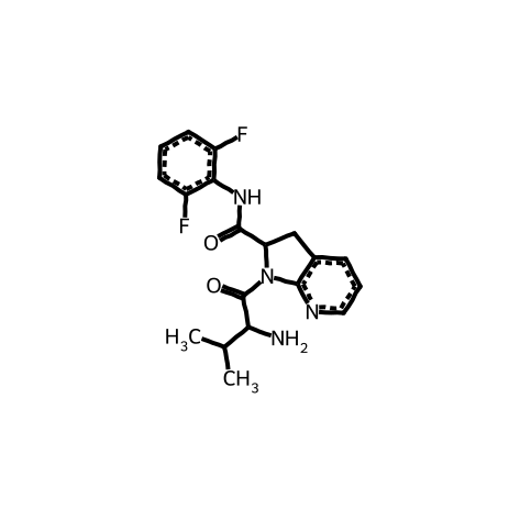 CC(C)C(N)C(=O)N1c2ncccc2CC1C(=O)Nc1c(F)cccc1F